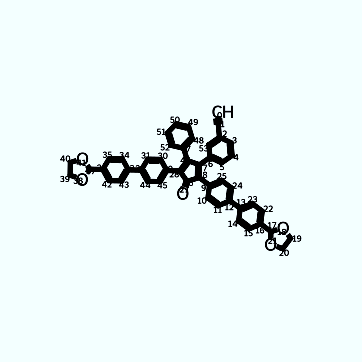 C#Cc1cccc(C2=C(c3ccc(-c4ccc(C5OCCO5)cc4)cc3)C(=O)C(c3ccc(-c4ccc(C5OCCO5)cc4)cc3)=C2c2ccccc2)c1